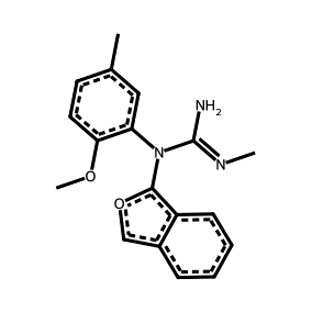 CN=C(N)N(c1cc(C)ccc1OC)c1occ2ccccc12